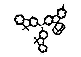 Cc1ccc2c(c1)-c1ccc(N(c3ccc4c(c3)C(C)(C)c3ccccc3-4)c3ccc4c(c3)C(C)(C)c3ccccc3-4)cc1C21C2CC3CC(C2)CC1C3